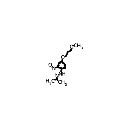 COCCCOc1ccc(NN=C(C)C)c(N=O)c1